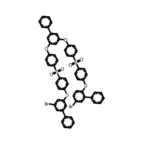 O=S(=O)(c1ccc(Oc2cc(Br)cc(-c3ccccc3)c2)cc1)c1ccc(Oc2cc(Oc3ccc(S(=O)(=O)c4ccc(Oc5ccc(Br)cc5-c5ccccc5)cc4)cc3)cc(-c3ccccc3)c2)cc1